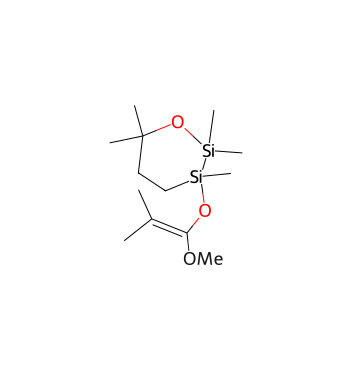 COC(O[Si]1(C)CCC(C)(C)O[Si]1(C)C)=C(C)C